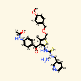 COc1ccc(COCc2sc(NC(=S)N(N)Cc3cccnc3)c(C(=O)c3ccc(NC(C)=O)cc3)c2C)cc1